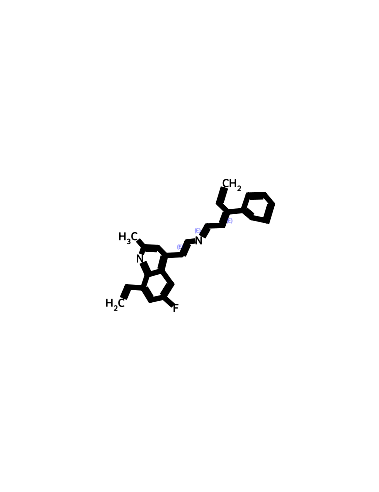 C=C\C(=C/C=N/C=C/c1cc(C)nc2c(C=C)cc(F)cc12)c1ccccc1